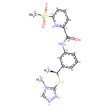 C[C@H](Sc1nncn1C)c1cccc(NC(=O)c2cccc(S(C)(=O)=O)n2)c1